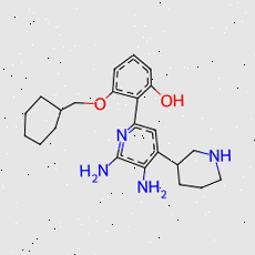 Nc1nc(-c2c(O)cccc2OCC2CCCCC2)cc(C2CCCNC2)c1N